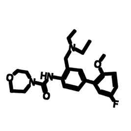 CCN(CC)Cc1cc(-c2cc(F)ccc2OC)ccc1NC(=O)N1CCOCC1